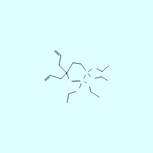 C=CCC1(CC=C)CC[Si](OCC)(OCC)[Si](OCC)(OCC)O1